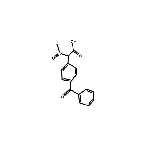 O=C(c1ccccc1)c1ccc(C(C(=O)O)[N+](=O)[O-])cc1